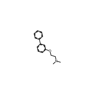 CN(C)CCOc1cccc(-c2ccccc2)c1